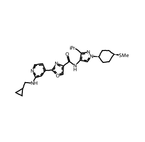 CS[C@H]1CC[C@@H](n2cc(NC(=O)c3coc(-c4ccnc(NCC5CC5)c4)n3)c(C(C)C)n2)CC1